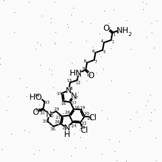 NC(=O)CCCCCCC(=O)NCCn1ccc(-c2cc(Cl)c(Cl)c3[nH]c4c(c23)CN(C(=O)CO)CC4)n1